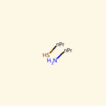 CCCN.CCCS